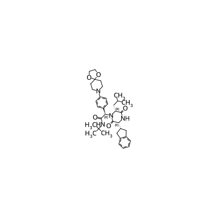 CC(C)C[C@@H]1C(=O)N[C@H](C2Cc3ccccc3C2)C(=O)N1[C@@H](C(=O)NC(C)(C)C)c1ccc(N2CCC3(CC2)OCCO3)cc1